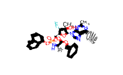 COc1nc(C)nc2c1ncn2[C@@H]1O[C@H](COP(=O)(N[C@H](C(=O)OCc2ccccc2)C(C)C)Oc2cccc3ccccc23)[C@H](F)[C@@]1(C)O